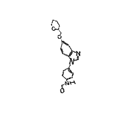 O=CNc1ccc(-n2cnc3cc(OCC4CCCCO4)ccc32)cc1